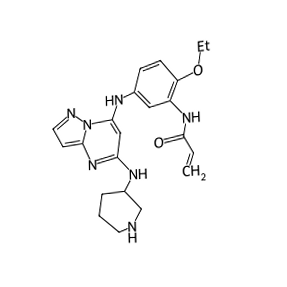 C=CC(=O)Nc1cc(Nc2cc(NC3CCCNC3)nc3ccnn23)ccc1OCC